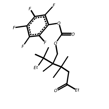 CCC(=O)CC(C)(C)C(C)(COC(=O)Oc1c(F)c(F)c(F)c(F)c1F)C(C)(C)CC